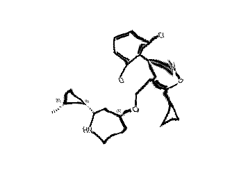 C[C@@H]1C[C@@H]1C1C[C@@H](OCc2c(-c3c(Cl)cccc3Cl)noc2C2CC2)CCN1